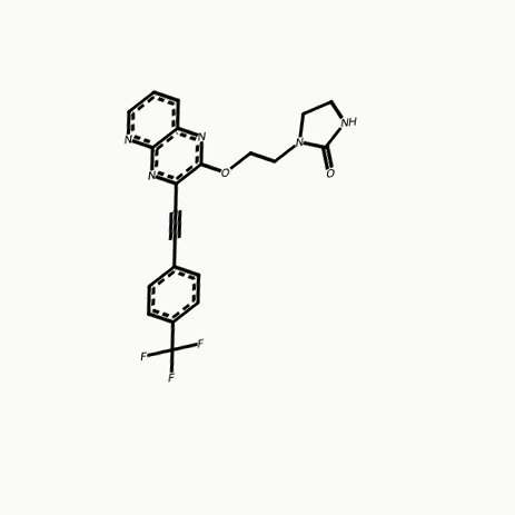 O=C1NCCN1CCOc1nc2cccnc2nc1C#Cc1ccc(C(F)(F)F)cc1